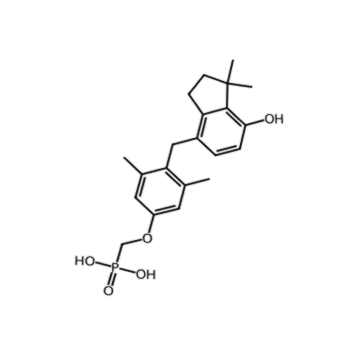 Cc1cc(OCP(=O)(O)O)cc(C)c1Cc1ccc(O)c2c1CCC2(C)C